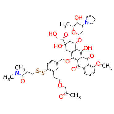 COc1cccc2c1C(=O)c1c(O)c3c(c(OCc4ccc(SSCCC(=O)N(C)C)c(CCOCC(C)=O)c4)c1C2=O)CC(O)(C(=O)CO)CC3OC1CC(N2C=CCC2)C(O)C(C)O1